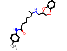 CC(CCCCC(=O)Nc1ccc(C(F)(F)F)cc1)NCC1COc2ccccc2O1